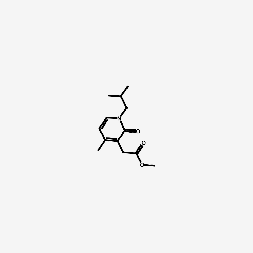 COC(=O)Cc1c(C)ccn(CC(C)C)c1=O